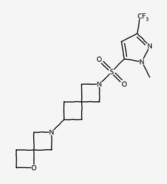 Cn1nc(C(F)(F)F)cc1S(=O)(=O)N1CC2(CC(N3CC4(CCO4)C3)C2)C1